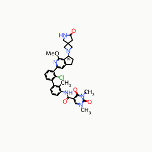 COc1nc(-c2cccc(-c3cccc(NC(=O)c4cn(C)c(=O)n(C)c4=O)c3C)c2Cl)cc2c1[C@@H](N1CC3(CNC(=O)C3)C1)CC2